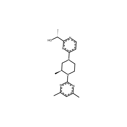 Cc1cc(C)nc(N2CCN(c3ccnc([C@@H](C)O)n3)C[C@@H]2C)n1